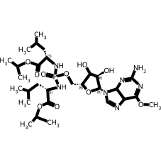 COC1=NC(N)=NC2C1N=CN2[C@@H]1O[C@H](COP(=O)(N[C@@H](CC(C)C)C(=O)OC(C)C)N[C@@H](CC(C)C)C(=O)OC(C)C)C(O)[C@H]1O